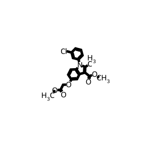 COC(=O)COc1ccc2c(c1)c(C(=O)OC)c(C)n2-c1cccc(Cl)c1